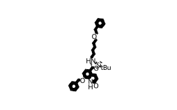 CC(C)(C)[Si](C)(C)O[C@@H](CNCCCCCCOCCc1ccccc1)c1ccc(OCc2ccccc2)c2[nH]c(=O)ccc12